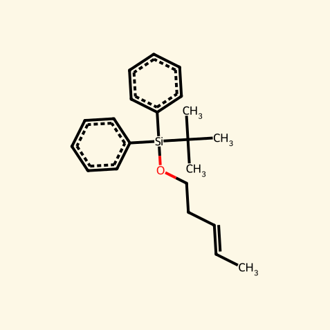 CC=CCCO[Si](c1ccccc1)(c1ccccc1)C(C)(C)C